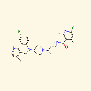 Cc1ccncc1CN(c1ccc(F)cc1)C1CCN(C(C)CCNC(=O)c2c(C)cc(Cl)nc2C)CC1